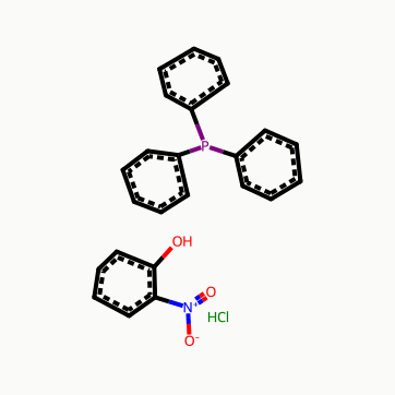 Cl.O=[N+]([O-])c1ccccc1O.c1ccc(P(c2ccccc2)c2ccccc2)cc1